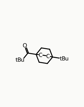 CC(C)(C)C(=O)C12CCC(C(C)(C)C)(CC1)CC2